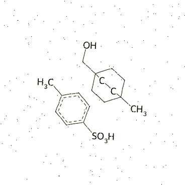 CC12CCC(CO)(CC1)CC2.Cc1ccc(S(=O)(=O)O)cc1